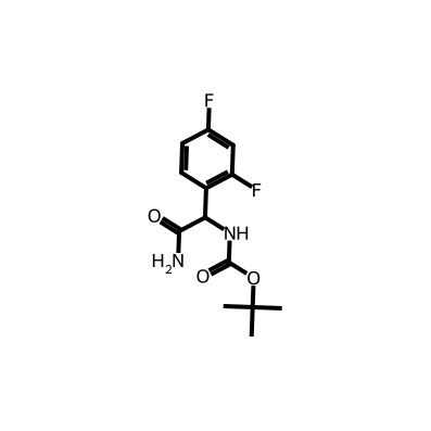 CC(C)(C)OC(=O)NC(C(N)=O)c1ccc(F)cc1F